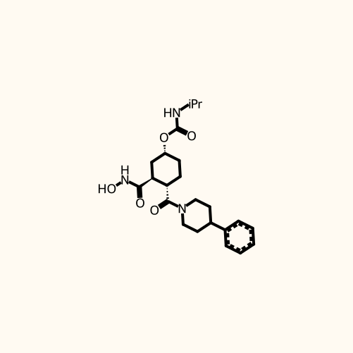 CC(C)NC(=O)O[C@@H]1CC[C@H](C(=O)N2CCC(c3ccccc3)CC2)[C@@H](C(=O)NO)C1